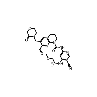 COC[C@@H](C)Nc1cc(NC(=O)N2CCCc3cc(CN4CCOCC4=O)c(C=O)nc32)ncc1C#N